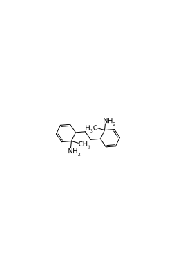 CC1(N)C=CC=CC1CCC1C=CC=CC1(C)N